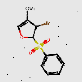 COC1=COC(S(=O)(=O)c2ccccc2)C1Br